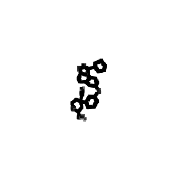 CC1CC(C#N)(c2cccc(Sc3ccc4c(ccc5nnc(-c6ccccc6)n54)c3)c2)CCO1